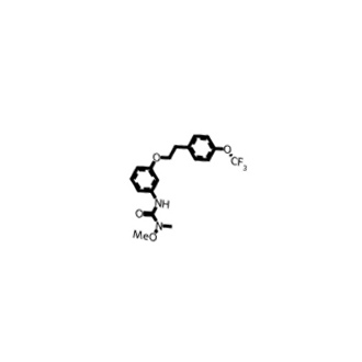 CON(C)C(=O)Nc1cccc(OCCc2ccc(OC(F)(F)F)cc2)c1